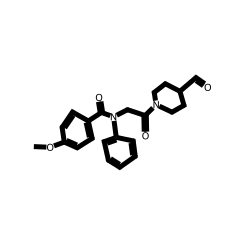 COc1ccc(C(=O)N(CC(=O)N2CCC(C=O)CC2)c2ccccc2)cc1